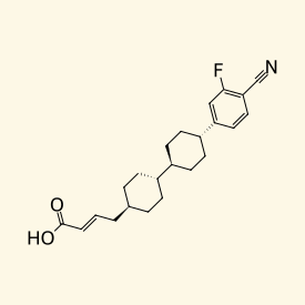 N#Cc1ccc([C@H]2CC[C@H]([C@H]3CC[C@H](C/C=C/C(=O)O)CC3)CC2)cc1F